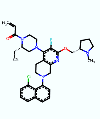 C=CC(=O)N1CCN(c2c(F)c(OC[C@@H]3CCCN3C)nc3c2CCN(c2cccc4cccc(Cl)c24)C3)C[C@@H]1CC#N